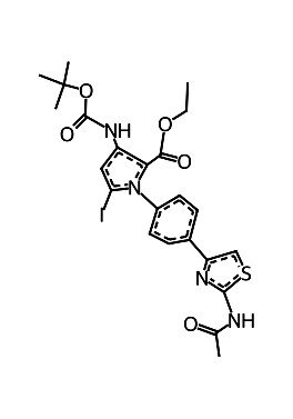 CCOC(=O)c1c(NC(=O)OC(C)(C)C)cc(I)n1-c1ccc(-c2csc(NC(C)=O)n2)cc1